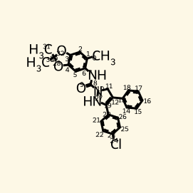 Cc1cc2c(cc1NC(=O)N1CC(c3ccccc3)=C(c3ccc(Cl)cc3)N1)OC(C)(C)O2